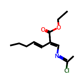 CCC/C=C/C(=C\N=C(/C)Cl)C(=O)OCC